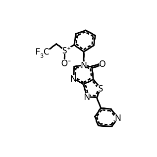 O=c1c2sc(-c3cccnc3)nc2ncn1-c1ccccc1[S+]([O-])CC(F)(F)F